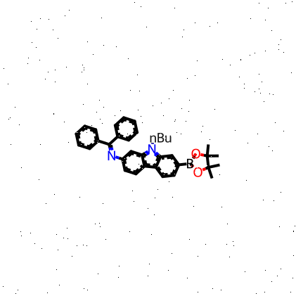 CCCCn1c2cc(N=C(c3ccccc3)c3ccccc3)ccc2c2ccc(B3OC(C)(C)C(C)(C)O3)cc21